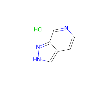 Cl.c1cc2c[nH]nc2cn1